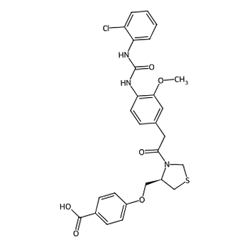 COc1cc(CC(=O)N2CSC[C@H]2COc2ccc(C(=O)O)cc2)ccc1NC(=O)Nc1ccccc1Cl